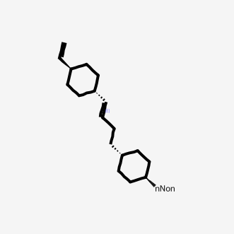 C=C[C@H]1CC[C@H](/C=C/CC[C@H]2CC[C@H](CCCCCCCCC)CC2)CC1